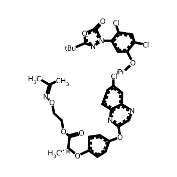 CC(C)=NOCCOC(=O)[C@@H](C)Oc1ccc(Oc2cnc3cc(Cl)ccc3n2)cc1.CC(C)Oc1cc(-n2nc(C(C)(C)C)oc2=O)c(Cl)cc1Cl